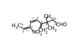 C=C(/C=C\C(=C/C)[N+](=O)[O-])C(C)(C)CC=O